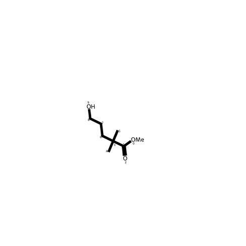 COC(=O)C(C)(C)CCCO